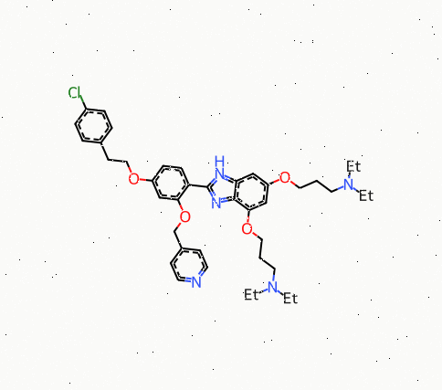 CCN(CC)CCCOc1cc(OCCCN(CC)CC)c2nc(-c3ccc(OCCc4ccc(Cl)cc4)cc3OCc3ccncc3)[nH]c2c1